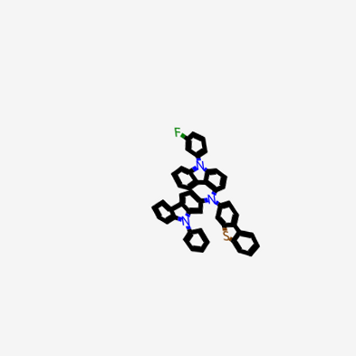 Fc1cccc(-n2c3ccccc3c3c(N(c4ccc5c(c4)sc4ccccc45)c4ccc5c6ccccc6n(-c6ccccc6)c5c4)cccc32)c1